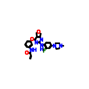 C=CC(=O)Nc1cccc(Oc2nc(Nc3ccc(N4CCN(C)CC4)cc3F)nc3c2COC3)c1